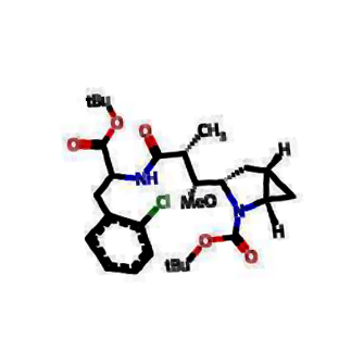 CO[C@H]([C@@H](C)C(=O)NC(Cc1ccccc1Cl)C(=O)OC(C)(C)C)[C@@H]1C[C@@H]2C[C@@H]2N1C(=O)OC(C)(C)C